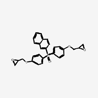 O=P(c1ccc(OCC2CO2)cc1)(c1ccc(OCC2CO2)cc1)c1ccc2ccccc2c1